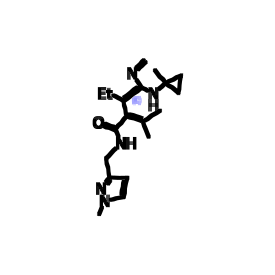 C=N/C(NC1(C)CC1)=C(\CC)C(C(=O)NCc1ccn(C)n1)=C(C)C